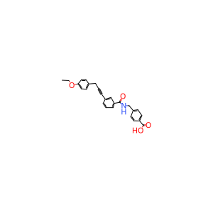 CCOc1ccc(CC#Cc2cccc(C(=O)NCc3ccc(C(=O)O)cc3)c2)cc1